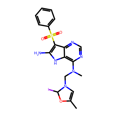 CC1=CN(CN(C)c2ncnc3c(S(=O)(=O)c4ccccc4)c(N)[nH]c23)C(I)O1